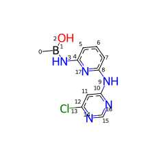 CB(O)Nc1cccc(Nc2cc(Cl)ncn2)n1